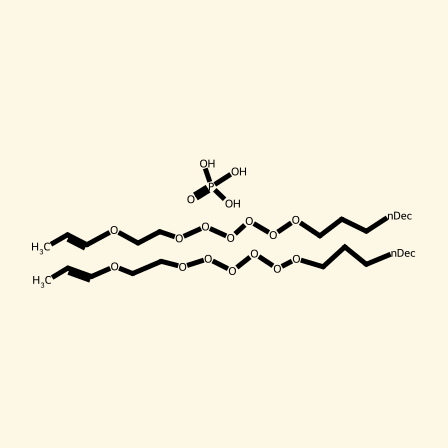 CC=COCCOOOOOOCCCCCCCCCCCCC.CC=COCCOOOOOOCCCCCCCCCCCCC.O=P(O)(O)O